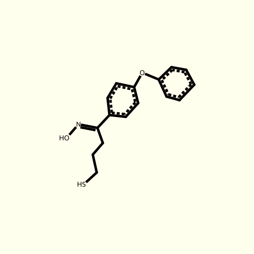 O/N=C(\CCCS)c1ccc(Oc2ccccc2)cc1